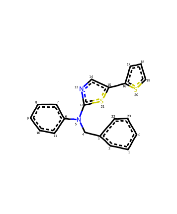 c1ccc(CN(c2ccccc2)c2ncc(-c3cccs3)s2)cc1